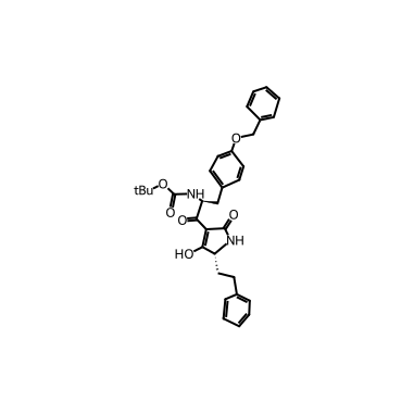 CC(C)(C)OC(=O)N[C@@H](Cc1ccc(OCc2ccccc2)cc1)C(=O)C1=C(O)[C@@H](CCc2ccccc2)NC1=O